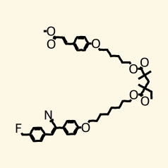 CCC(C)(CC(C)(C)C(=O)OCCCCCCOc1ccc(/C=C/C(=O)OC)cc1)C(=O)OCCCCCCCCOc1ccc(/C(C#N)=C/c2ccc(CF)cc2)cc1